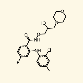 O=C(NOCC(O)CN1CCOCC1)c1ccc(F)cc1Nc1ccc(I)cc1Cl